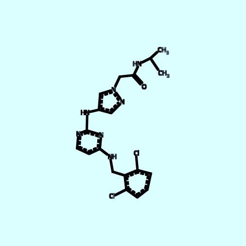 CC(C)NC(=O)Cn1cc(Nc2nccc(NCc3c(Cl)cccc3Cl)n2)cn1